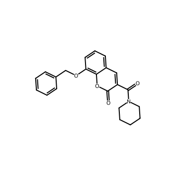 O=C(c1cc2cccc(OCc3ccccc3)c2oc1=O)N1CCCCC1